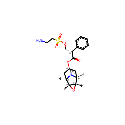 CN1[C@@H]2C[C@@H](OC(=O)[C@H](COS(=O)(=O)CCN)c3ccccc3)C[C@H]1[C@@H]1O[C@@H]12